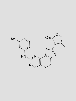 CC(=O)c1cccc(Nc2ncc3c(n2)-c2sc(N4C(=O)OCC4C)nc2CC3)c1